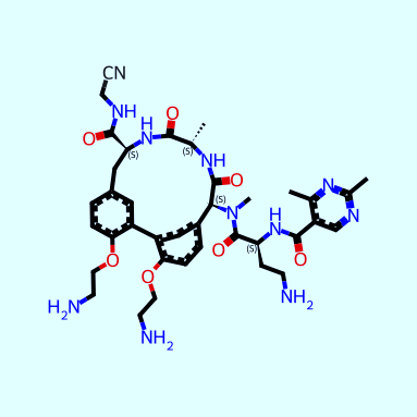 Cc1ncc(C(=O)N[C@@H](CCN)C(=O)N(C)[C@@H]2C(=O)N[C@@H](C)C(=O)N[C@H](C(=O)NCC#N)Cc3ccc(OCCN)c(c3)-c3cc2ccc3OCCN)c(C)n1